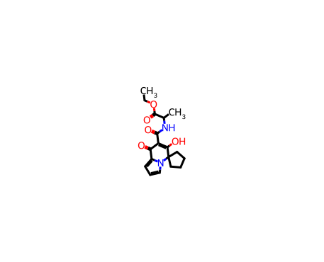 CCOC(=O)C(C)NC(=O)C1=C(O)C2(CCCC2)n2cccc2C1=O